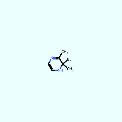 CCC1(C)NC=CN=C1C